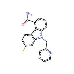 NC(=O)c1cccc2c1c1[c]cc(F)cc1n2Cc1ccccn1